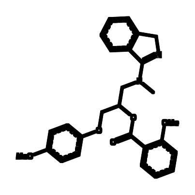 COc1ccc(OCC(CN(C)C2=NCc3ccccc32)OC(=O)c2ccccc2OC)cc1